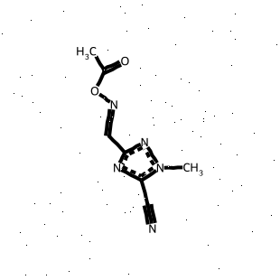 CC(=O)ON=Cc1nc(C#N)n(C)n1